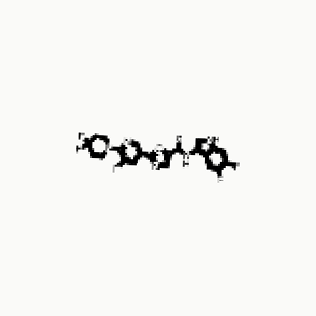 O=C(Nc1c[nH]c2cc(F)c(F)cc12)c1cnc(-c2cnc(N3CCC(F)(F)CC3)c(F)c2)o1